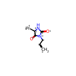 C=CCN1C(=O)NC(C(C)C)C1=O